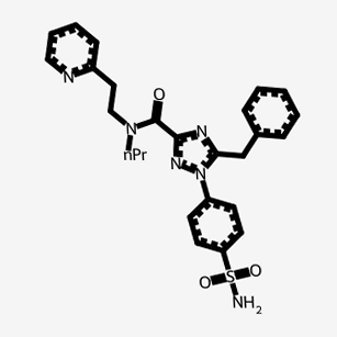 CCCN(CCc1ccccn1)C(=O)c1nc(Cc2ccccc2)n(-c2ccc(S(N)(=O)=O)cc2)n1